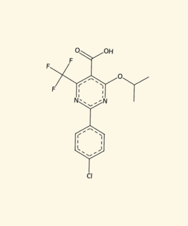 CC(C)Oc1nc(-c2ccc(Cl)cc2)nc(C(F)(F)F)c1C(=O)O